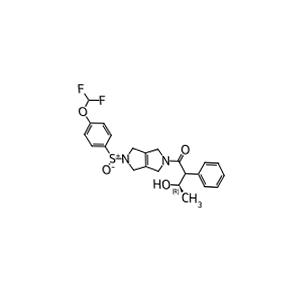 C[C@@H](O)C(C(=O)N1CC2=C(C1)CN([S+]([O-])c1ccc(OC(F)F)cc1)C2)c1ccccc1